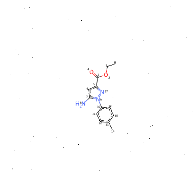 CCOC(=O)c1cc(N)n(-c2ccc(C)cc2)n1